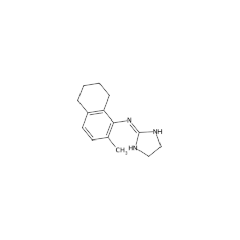 Cc1ccc2c(c1N=C1NCCN1)CCCC2